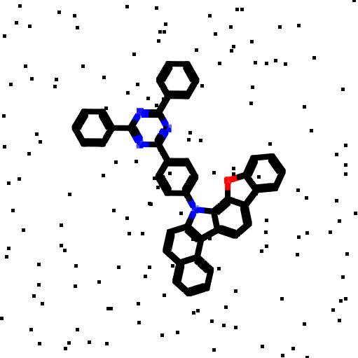 c1ccc(-c2nc(-c3ccccc3)nc(-c3ccc(-n4c5ccc6ccccc6c5c5ccc6c7ccccc7oc6c54)cc3)n2)cc1